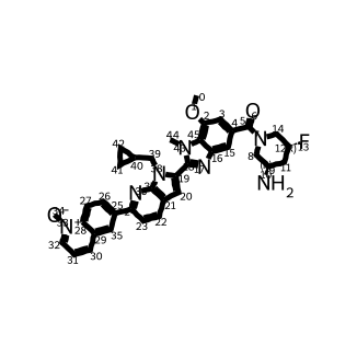 COc1cc(C(=O)N2C[C@H](N)C[C@@H](F)C2)cc2nc(-c3cc4ccc(-c5ccc6c(ccc[n+]6[O-])c5)nc4n3CC3CC3)n(C)c12